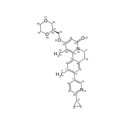 Cc1cc2c(cc1-c1ccc(C3CC3)nc1)CCn1c-2c(C)c(OC[C@@H]2COCCO2)cc1=O